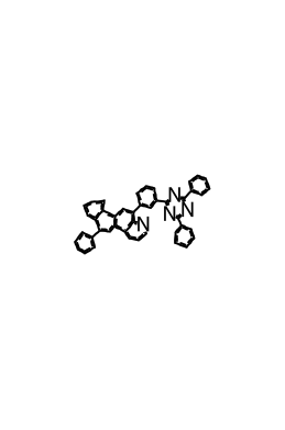 c1ccc(-c2nc(-c3ccccc3)nc(-c3cccc(-c4cc5c6ccccc6c(-c6ccccc6)cc5c5cccnc45)c3)n2)cc1